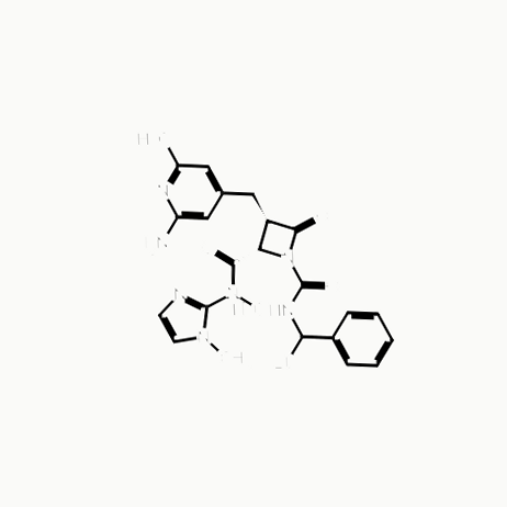 CCC(NC(=O)N1C(=O)[C@H](Cc2cc(C)nc(N)c2)[C@H]1C(=O)N(C)c1nccn1C)c1ccccc1